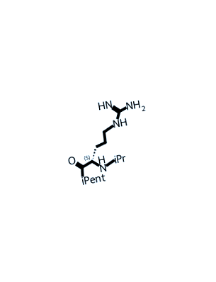 CCCC(C)C(=O)[C@H](CCCNC(=N)N)NC(C)C